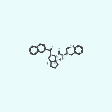 C=C[C@@H](Cc1ccccc1)NC(=O)[C@@H]1[C@H]2CCC[C@H]2CN1C(=O)c1ccc2ccccc2c1